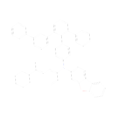 C=C/C(=C\C=C(/C)C1CCCCC1)N(c1ccc(-c2c(-c3ccccc3)cccc2-c2cccc(-c3ccccc3)c2)cc1)c1ccc2c(c1)oc1ccccc12